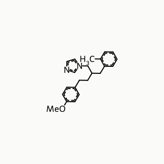 COc1ccc(CCC(Cc2ccccc2C)Cn2ccnc2)cc1